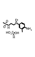 CCN(CCNS(C)(=O)=O)c1ccc(N)c(C)c1.O=C(O)O.[KH]